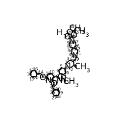 CC1CN(c2ccc3c(-c4ccc(OCc5ccccc5)nc4OCc4ccccc4)nn(C)c3c2)CCC1CN1CCC2(CC1)CCN(C(=O)OC(C)(C)C)CC2